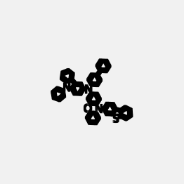 c1ccc(-c2ccc(N(c3ccc4c(c3)Oc3ccccc3N4c3ccc4c(c3)sc3ccccc34)c3ccc4c(c3)c3ccccc3n4-c3ccccc3)cc2)cc1